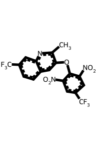 Cc1nc2cc(C(F)(F)F)ccc2cc1Oc1c([N+](=O)[O-])cc(C(F)(F)F)cc1[N+](=O)[O-]